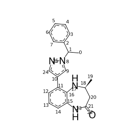 CC(c1ccccc1)n1cc(-c2cccc3c2N[C@@H](C)CC(=O)N3)cn1